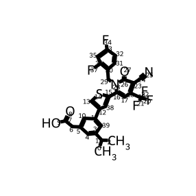 CC(C)c1cc(CC(=O)O)cc(-c2csc(-c3cc(C(F)(F)F)c(C#N)c(=O)n3Cc3ccc(F)cc3F)c2)c1